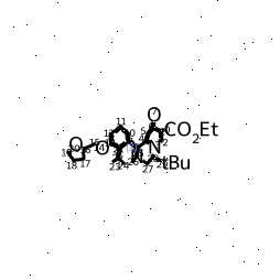 CCOC(=O)c1cn2c(cc1=O)/C(=c1\cccc(OCC3CCCO3)c1=C(C)C)N(C)CC2C(C)(C)C